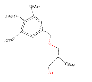 COc1cc(COCC(CO)OC)cc(OC)c1OC